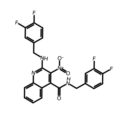 O=C(NCc1ccc(F)c(F)c1)c1c([N+](=O)[O-])c(NCc2ccc(F)c(F)c2)nc2ccccc12